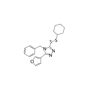 c1ccc(Cn2c(SSC3CCCCC3)nnc2-c2ccoc2)cc1